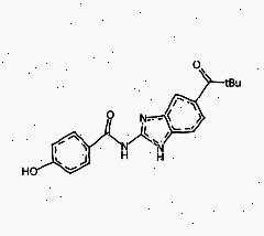 CC(C)(C)C(=O)c1ccc2[nH]c(NC(=O)c3ccc(O)cc3)nc2c1